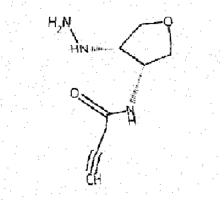 C#CC(=O)N[C@H]1COC[C@H]1NN